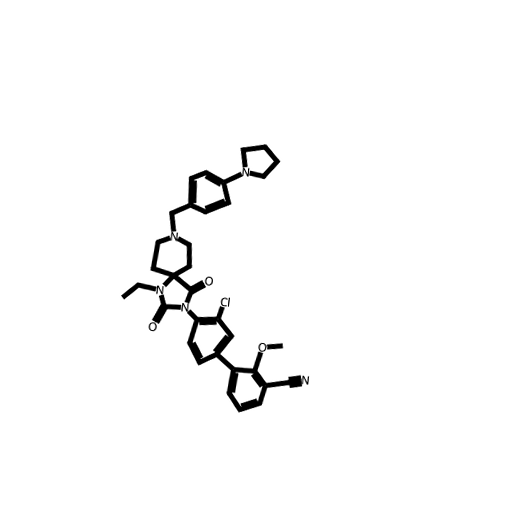 CCN1C(=O)N(c2ccc(-c3cccc(C#N)c3OC)cc2Cl)C(=O)C12CCN(Cc1ccc(N3CCCC3)cc1)CC2